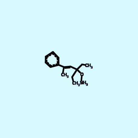 CCC(C=C(C)c1ccccc1)(CC)O[SiH3]